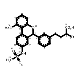 CCC(CCc1cccc(C2Oc3cccc(OC)c3-c3ccc(NS(C)(=O)=O)cc32)c1)C(=O)O